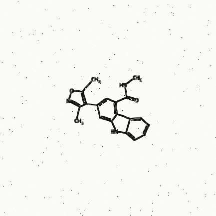 CNC(=O)c1cc(-c2c(C)noc2C)cc2[nH]c3ccccc3c12